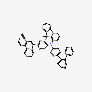 C#Cc1cc(-c2ccc(N(C3=C4C(CC=C3)c3ccccc3C4(C)C)c3ccc(-c4ccccc4-c4ccccc4)cc3)cc2)c2ccccc2c1/C=C\C